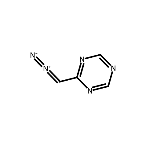 [N-]=[N+]=Cc1ncncn1